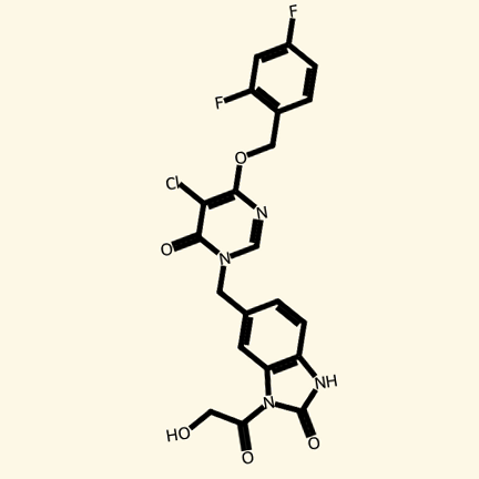 O=C(CO)n1c(=O)[nH]c2ccc(Cn3cnc(OCc4ccc(F)cc4F)c(Cl)c3=O)cc21